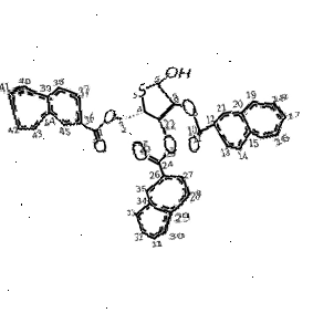 O=C(OC[C@@H]1SC(O)C(OC(=O)c2ccc3ccccc3c2)[C@H]1OC(=O)c1ccc2ccccc2c1)c1ccc2ccccc2c1